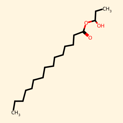 CCCCCCCCCCCCCCC(=O)OC(O)CC